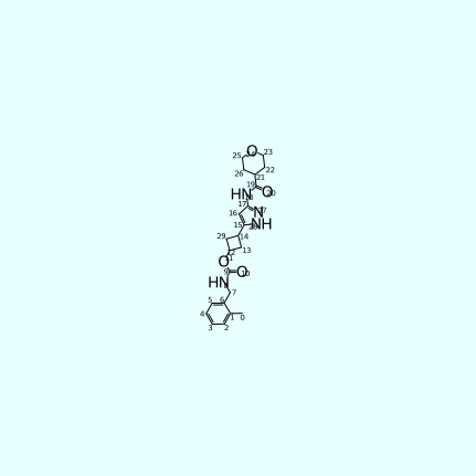 Cc1ccccc1CNC(=O)OC1CC(c2cc(NC(=O)C3CCOCC3)n[nH]2)C1